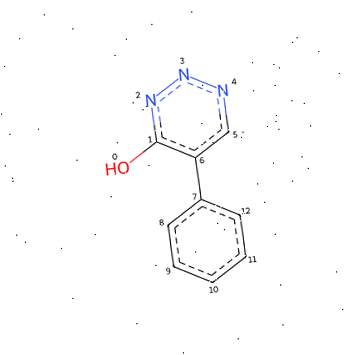 Oc1nnncc1-c1ccccc1